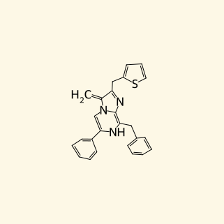 C=c1c(Cc2cccs2)nc2n1C=C(c1ccccc1)NC=2Cc1ccccc1